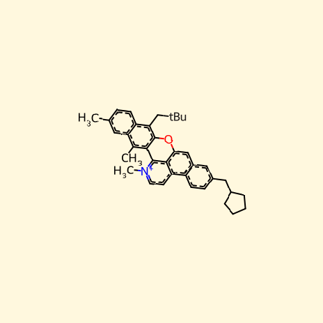 Cc1ccc2c(CC(C)(C)C)c3c(c(C)c2c1)-c1c2c(cc4cc(CC5CCCC5)ccc4c2cc[n+]1C)O3